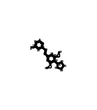 COc1cc(C=Cc2cccc(F)c2)cc(OC)c1C1CCCC1